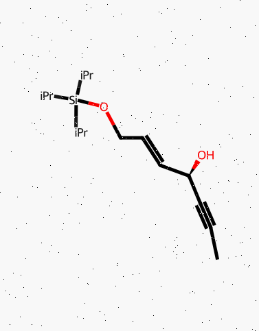 CC#C[C@H](O)/C=C/CO[Si](C(C)C)(C(C)C)C(C)C